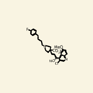 COc1ccc2ncc(Cl)c([C@@H](O)CCC3(C(=O)O)CCN(CCCCc4ccc(F)cc4)CC3)c2c1